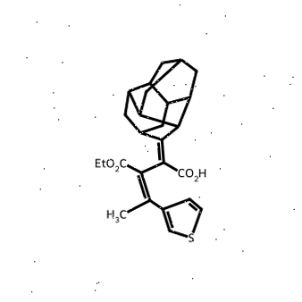 CCOC(=O)C(/C(C(=O)O)=C1\C2CC3C4CC5CC3C1C(C5)C4C2)=C(\C)c1ccsc1